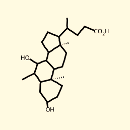 CC(CCC(=O)O)C1CCC2C3C(O)C(C)C4CC(O)CC[C@]4(C)C3CC[C@]12C